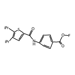 CC(C)c1cc(C(=O)Nc2ccc(C(=O)OF)cc2)sc1C(C)C